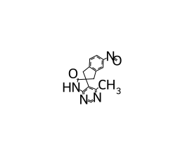 Cc1ncnc2c1C1(Cc3ccc(N=O)cc3C1)C(=O)N2